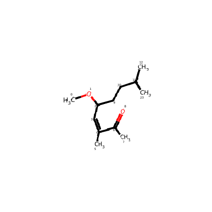 COC(C=C(C)C(C)=O)CCC(C)C